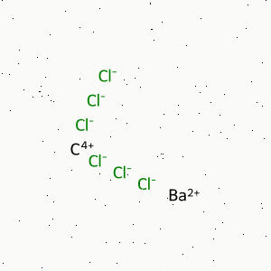 [Ba+2].[C+4].[Cl-].[Cl-].[Cl-].[Cl-].[Cl-].[Cl-]